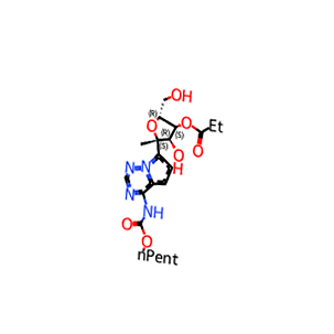 CCCCCOC(=O)Nc1ncnn2c([C@]3(C)O[C@H](CO)[C@@H](OC(=O)CC)[C@H]3O)ccc12